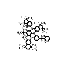 Cc1cc2c(cc1N1c3ccc(C(C)(C)c4ccccc4)cc3B3c4cc5c(cc4N(c4ccc6c(c4C)C(C)(C)CC6(C)C)c4cc(C(C)(C)C)cc1c43)C(C)(C)CC5(C)C)C(C)(C)CCC2(C)C